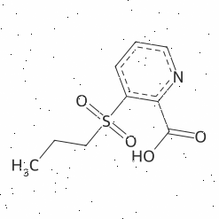 CCCS(=O)(=O)c1cccnc1C(=O)O